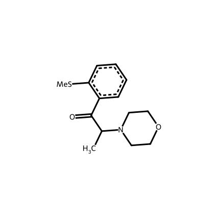 CSc1ccccc1C(=O)C(C)N1CCOCC1